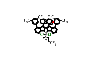 C[SiH](CCC(F)(F)F)[Zr]([Cl])([Cl])([CH]1C(CC23CCC(CC2)C3)=Cc2c(-c3cc(C(F)(F)F)cc(C(F)(F)F)c3)cccc21)[CH]1C(CC23CCC(CC2)C3)=Cc2c(-c3cc(C(F)(F)F)cc(C(F)(F)F)c3)cccc21